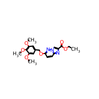 CCOC(=O)c1cn2nc(OCc3cc(OC)c(OC)c(OC)c3)ccc2n1